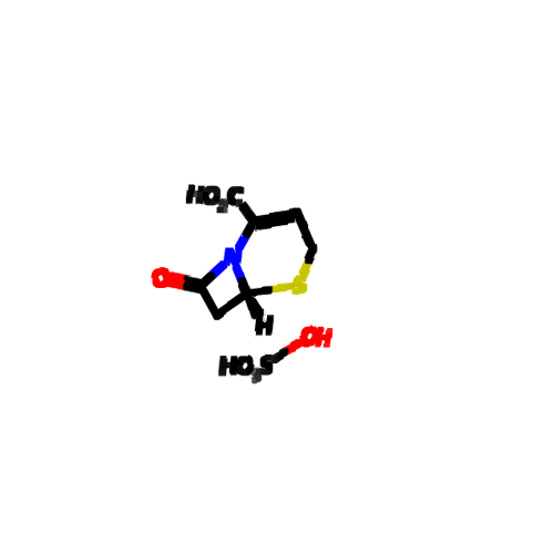 O=C(O)C1=CCS[C@@H]2CC(=O)N12.O=S(=O)(O)O